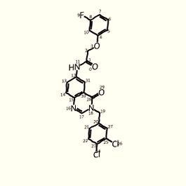 O=C(COc1cccc(F)c1)Nc1ccc2ncn(Cc3ccc(Cl)c(Cl)c3)c(=O)c2c1